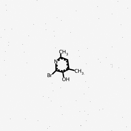 Cc1cc(C)c(O)c(Br)n1